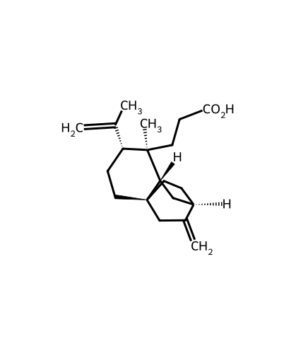 C=C1C[C@@]23CC[C@@H]1C[C@H]2[C@](C)(CCC(=O)O)[C@@H](C(=C)C)CC3